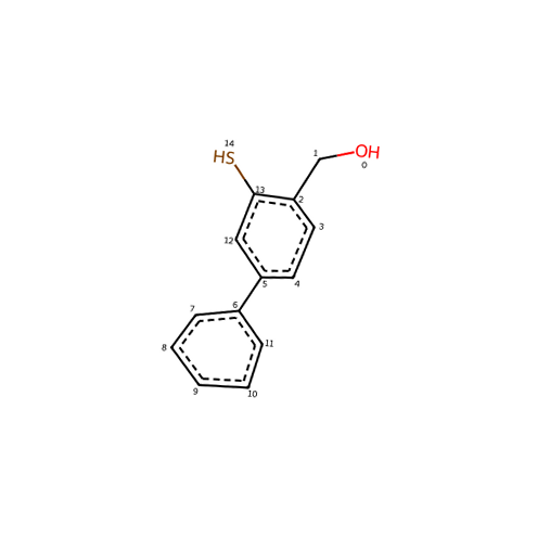 OCc1ccc(-c2ccccc2)cc1S